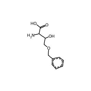 NC(C(=O)O)C(O)COCc1ccccc1